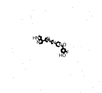 O=C(c1ccc(O)c(F)c1)N1CCC(N2C[C](n3cc(-c4ccnc5[nH]ccc45)cn3)C2)CC1